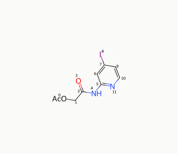 CC(=O)OCC(=O)Nc1cc(I)ccn1